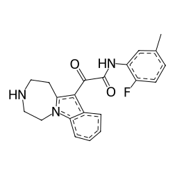 Cc1ccc(F)c(NC(=O)C(=O)c2c3n(c4ccccc24)CCNCC3)c1